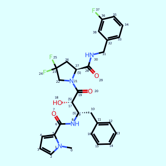 Cn1cccc1C(=O)N[C@@H](Cc1ccccc1)[C@H](O)C(=O)N1CC(F)(F)C[C@H]1C(=O)NCc1cccc(F)c1